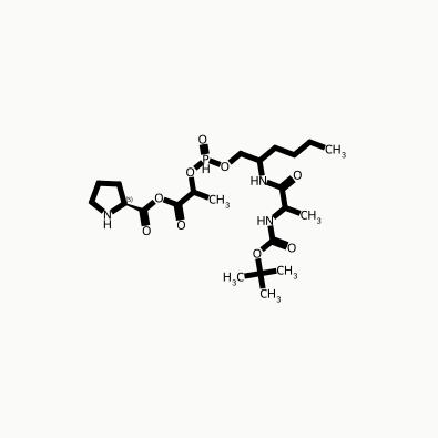 CCCCC(CO[PH](=O)OC(C)C(=O)OC(=O)[C@@H]1CCCN1)NC(=O)C(C)NC(=O)OC(C)(C)C